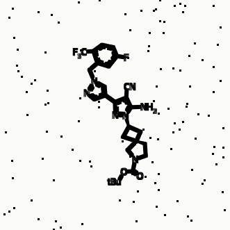 CC(C)(C)OC(=O)N1CC[C@]2(C1)C[C@H](n1nc(-c3cnn(Cc4cc(F)ccc4C(F)(F)F)c3)c(C#N)c1N)C2